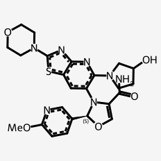 COc1ccc([C@@H]2OC=C(C(N)=O)N2c2cc3sc(N4CCOCC4)nc3nc2N2CCC(O)C2)cn1